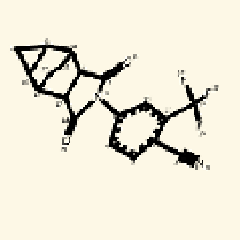 N#Cc1ccc(N2C(=O)C3C4CCC(C5CC54)C3C2=O)cc1C(F)(F)F